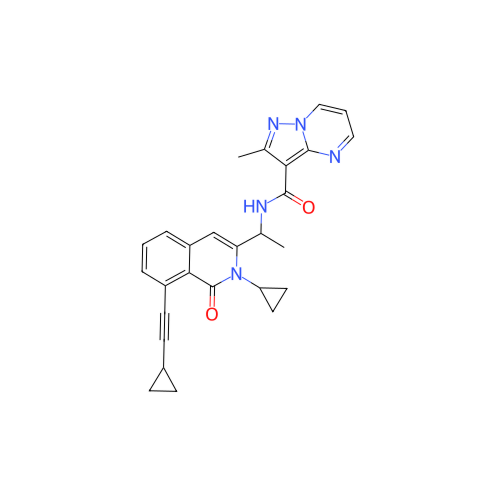 Cc1nn2cccnc2c1C(=O)NC(C)c1cc2cccc(C#CC3CC3)c2c(=O)n1C1CC1